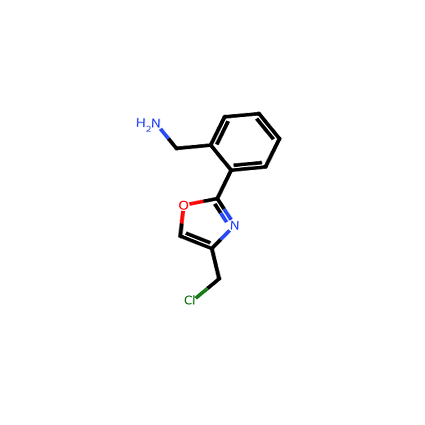 NCc1ccccc1-c1nc(CCl)co1